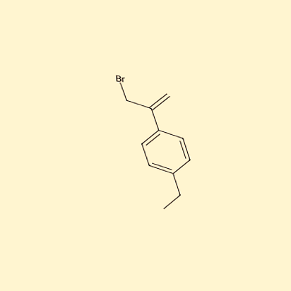 C=C(CBr)c1ccc(CC)cc1